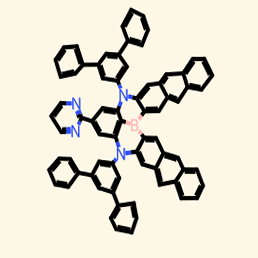 c1ccc(-c2cc(-c3ccccc3)cc(N3c4cc5cc6ccccc6cc5cc4B4c5cc6cc7ccccc7cc6cc5N(c5cc(-c6ccccc6)cc(-c6ccccc6)c5)c5cc(-c6ncccn6)cc3c54)c2)cc1